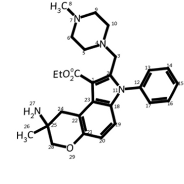 CCOC(=O)c1c(CN2CCN(C)CC2)n(-c2ccccc2)c2ccc3c(c12)CC(C)(N)CO3